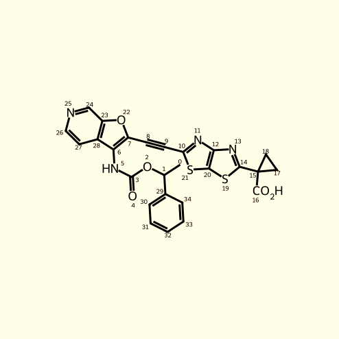 CC(OC(=O)Nc1c(C#Cc2nc3nc(C4(C(=O)O)CC4)sc3s2)oc2cnccc12)c1ccccc1